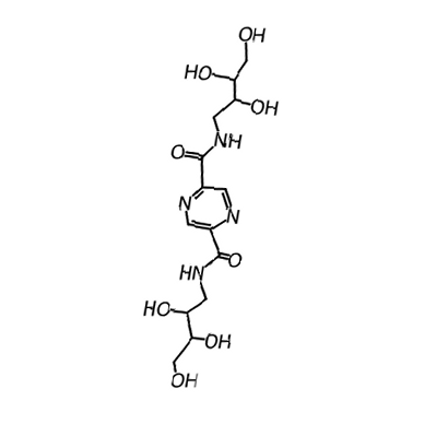 O=C(NCC(O)C(O)CO)c1cnc(C(=O)NCC(O)C(O)CO)cn1